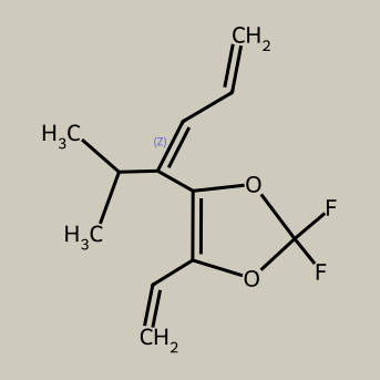 C=C/C=C(\C1=C(C=C)OC(F)(F)O1)C(C)C